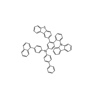 c1ccc(-c2ccc(N(c3ccc(-c4cccc5ccccc45)cc3)c3ccc(-c4ccccc4-n4c5ccccc5c5ccccc54)c(-c4ccc5sc6ccccc6c5c4)c3)cc2)cc1